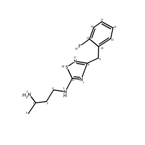 CC(N)CCNc1nc(Cc2ccccc2F)ns1